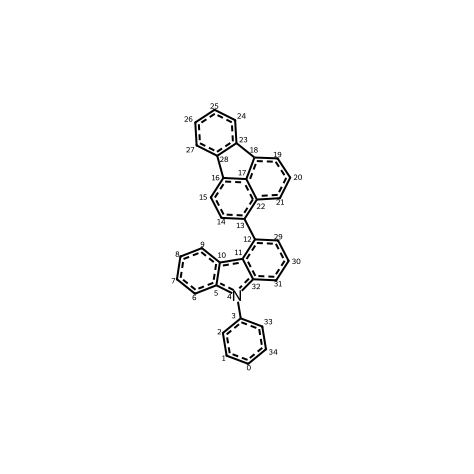 c1ccc(-n2c3ccccc3c3c(-c4ccc5c6c(cccc46)-c4ccccc4-5)cccc32)cc1